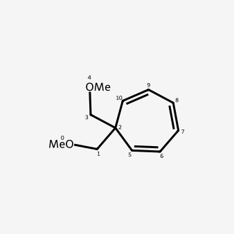 COCC1(COC)C=CC=CC=C1